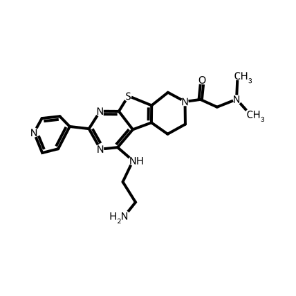 CN(C)CC(=O)N1CCc2c(sc3nc(-c4ccncc4)nc(NCCN)c23)C1